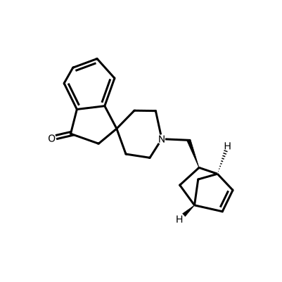 O=C1CC2(CCN(C[C@@H]3C[C@H]4C=C[C@H]3C4)CC2)c2ccccc21